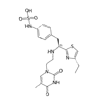 CCc1csc([C@H](Cc2ccc(NS(=O)(=O)O)cc2)NCCn2cc(C)c(=O)[nH]c2=O)n1